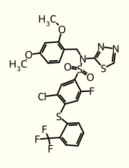 COc1ccc(CN(c2nncs2)S(=O)(=O)c2cc(Cl)c(Sc3ccccc3C(F)(F)F)cc2F)c(OC)c1